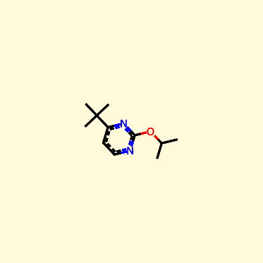 CC(C)Oc1nccc(C(C)(C)C)n1